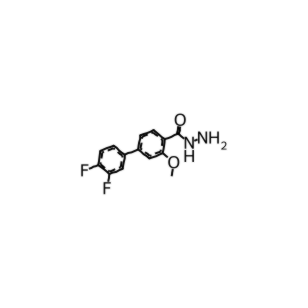 COc1cc(-c2ccc(F)c(F)c2)ccc1C(=O)NN